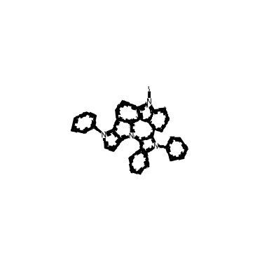 In1c2cccc3c2c2c1ccc1c4c(ccn4-c4ccccc4)n(c12)c1c2ccccc2n(-c2ccccc2)c31